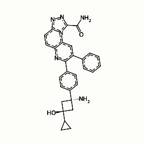 NC(=O)c1nnc2ccc3nc(-c4ccc([C@]5(N)C[C@@](O)(C6CC6)C5)cc4)c(-c4ccccc4)cc3n12